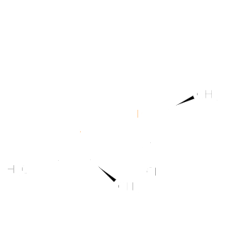 C[C@H]1[C@H](C)P1c1ccccc1P1[C@@H](C)[C@@H]1C